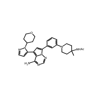 CC(=O)NC1(C)CCN(c2cccc(-c3cc(-c4ccnn4C4CCOCC4)c4c(N)ncnn34)c2)CC1